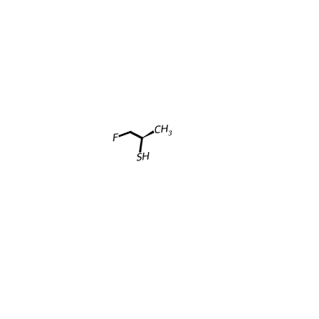 C[C@@H](S)CF